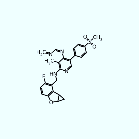 C=N/C=N\c1c(-c2ccc(S(C)(=O)=O)cc2)cnc(NCc2c(F)ccc3c2C2CC2O3)c1C